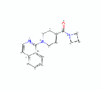 O=C(C1CCN(c2nccc3ccccc23)CC1)N1CCC1